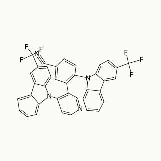 N#Cc1ccc(-n2c3ccccc3c3cc(C(F)(F)F)ccc32)c(-c2cnccc2-n2c3ccccc3c3cc(C(F)(F)F)ccc32)c1